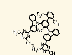 Cc1nc(C)nc(-c2ccc3c(c2)c2ccccc2n3-c2cc(-c3c(C(F)(F)F)cccc3C(F)(F)F)cc(-n3c4ccccc4c4cc(-c5nc(C)nc(C)n5)ccc43)c2C#N)n1